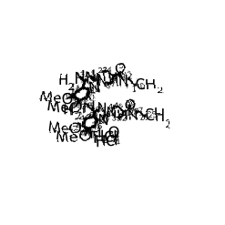 C=CCNC(=O)C1CCN(c2nc(N)c3cc(OC)c(OC)cc3n2)CC1.C=CCNC(=O)C1CCN(c2nc(N)c3cc(OC)c(OC)cc3n2)CC1.Cl.Cl.O